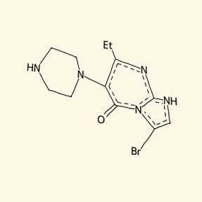 CCc1nc2[nH]cc(Br)n2c(=O)c1N1CCNCC1